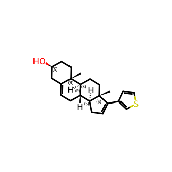 C[C@]12CC[C@H](O)CC1=CC[C@@H]1[C@@H]2CC[C@]2(C)C(c3ccsc3)=CC[C@@H]12